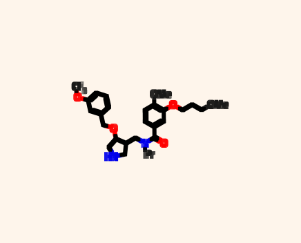 COCCCOc1cc(C(=O)N(CC2CNCC2OCc2cccc(OC(F)(F)F)c2)C(C)C)ccc1OC